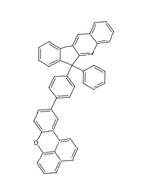 c1ccc(C2(c3ccc(-c4ccc5c(c4)-c4cccc6cccc(c46)O5)cc3)c3ccccc3-c3cc4ccccc4cc32)cc1